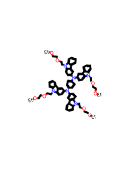 CCOCCOCCN1c2ccc(N(c3ccc(N(c4ccc5c(c4)c4ccccc4n5CCOCCOCC)c4ccc5c(c4)c4ccccc4n5CCOCCOCC)cc3)c3ccc4c(c3)c3ccccc3n4CCOCCOCC)cc2C2C=CC=CC21